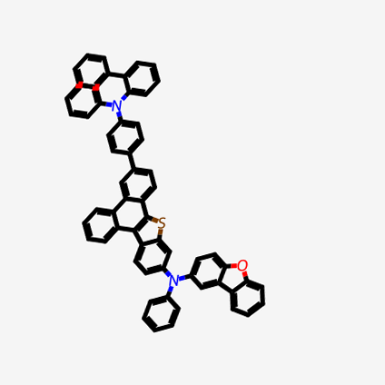 c1ccc(-c2ccccc2N(c2ccccc2)c2ccc(-c3ccc4c(c3)c3ccccc3c3c5ccc(N(c6ccccc6)c6ccc7oc8ccccc8c7c6)cc5sc43)cc2)cc1